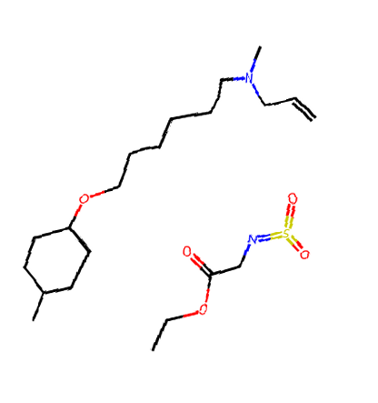 C=CCN(C)CCCCCCOC1CCC(C)CC1.CCOC(=O)CN=S(=O)=O